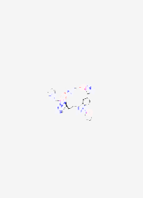 Cc1nn(CCN2CCCC2)c2c1/C=C/c1nn(C3CCCCO3)c3ccc(cc13)-c1cnn(C)c1OCCN(C)C2=O